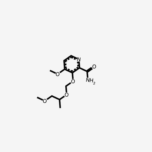 COCC(C)OCOc1c(OC)ccnc1C(N)=O